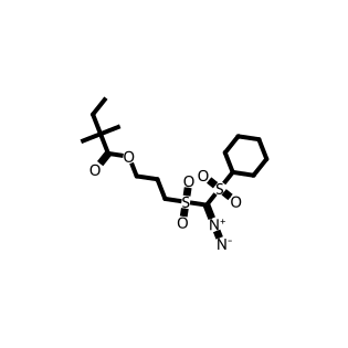 CCC(C)(C)C(=O)OCCCS(=O)(=O)C(=[N+]=[N-])S(=O)(=O)C1CCCCC1